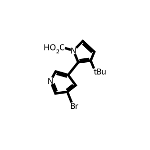 CC(C)(C)c1ccn(C(=O)O)c1-c1cncc(Br)c1